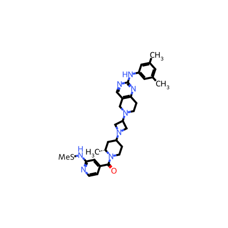 CSNc1cc(C(=O)N2CCC(N3CC(N4CCc5nc(Nc6cc(C)cc(C)c6)ncc5C4)C3)C[C@H]2C)ccn1